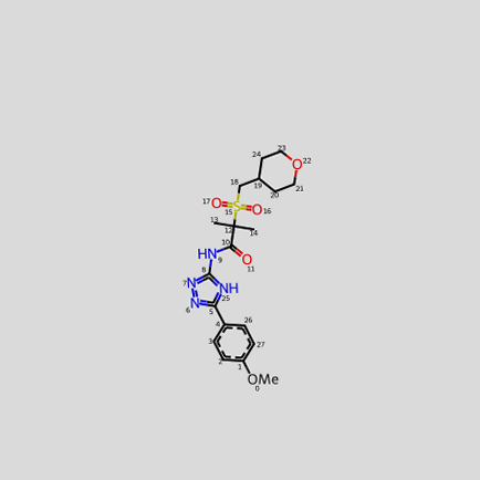 COc1ccc(-c2nnc(NC(=O)C(C)(C)S(=O)(=O)CC3CCOCC3)[nH]2)cc1